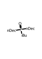 CCCCCCCCCCP(=O)(CCCCCCCCCC)C(C)CC